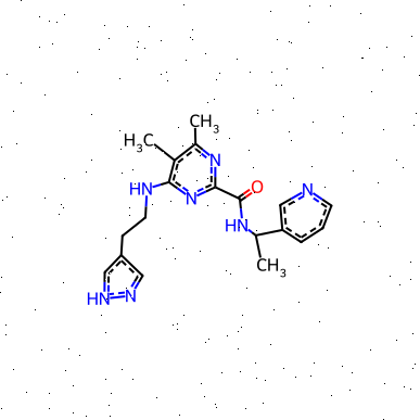 Cc1nc(C(=O)NC(C)c2cccnc2)nc(NCCc2cn[nH]c2)c1C